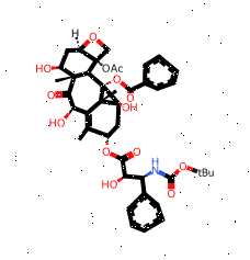 CC(=O)O[C@@]12CO[C@@H]1C[C@H](O)[C@@]1(C)C(=O)[C@H](O)C3=C(C)[C@@H](OC(=O)[C@H](O)[C@@H](NC(=O)OC(C)(C)C)c4ccccc4)C[C@]4(O)[C@@]3(C)[C@@]4(OC(=O)c3ccccc3)C12